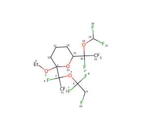 CCOC1(C(F)(OC(F)(F)CF)C(F)(F)F)CCCC(C(F)(OC(F)F)C(F)(F)F)O1